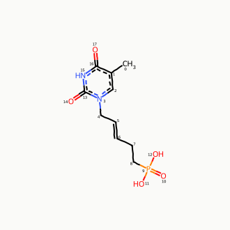 Cc1cn(CC=CCCP(=O)(O)O)c(=O)[nH]c1=O